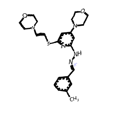 Cc1cccc(/C=N/Nc2cc(N3CCOCC3)cc(SCCN3CCOCC3)n2)c1